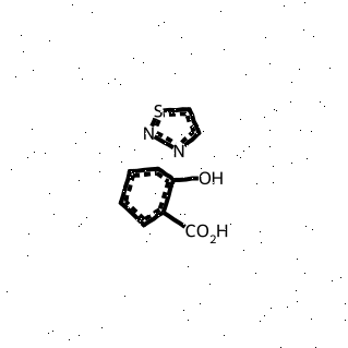 O=C(O)c1ccccc1O.c1csnn1